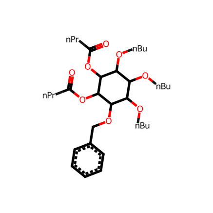 CCCCOC1C(OCCCC)C(OCc2ccccc2)C(OC(=O)CCC)C(OC(=O)CCC)C1OCCCC